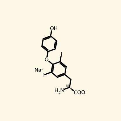 N[C@@H](Cc1cc(I)c(Oc2ccc(O)cc2)c(I)c1)C(=O)[O-].[Na+]